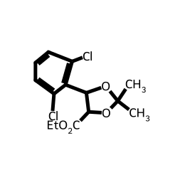 CCOC(=O)C1OC(C)(C)OC1c1c(Cl)cccc1Cl